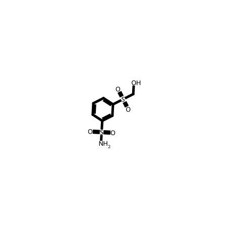 NS(=O)(=O)c1cccc(S(=O)(=O)CO)c1